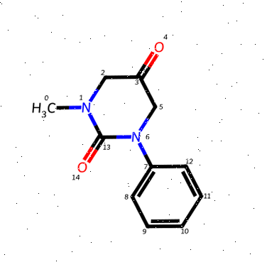 CN1CC(=O)CN(c2ccccc2)C1=O